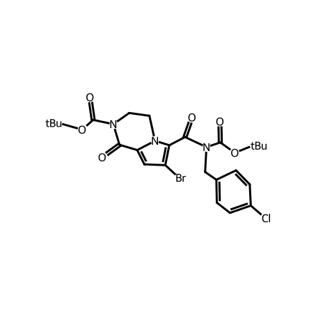 CC(C)(C)OC(=O)N1CCn2c(cc(Br)c2C(=O)N(Cc2ccc(Cl)cc2)C(=O)OC(C)(C)C)C1=O